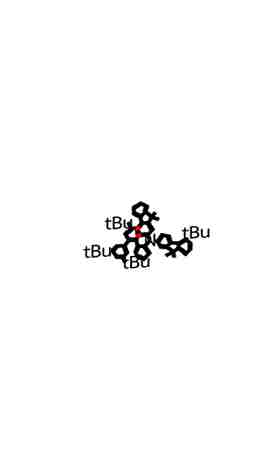 CC(C)(C)c1cc(-c2cc(C(C)(C)C)ccc2-c2ccccc2N(c2ccc3c(c2)C(C)(C)c2ccccc2-3)c2ccc3c(c2)C(C)(C)c2cccc(C(C)(C)C)c2-3)cc(C(C)(C)C)c1